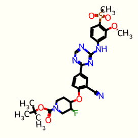 COc1cc(Nc2ncnc(-c3ccc(OC4CCN(C(=O)OC(C)(C)C)CC4F)c(C#N)c3)n2)ccc1S(C)(=O)=O